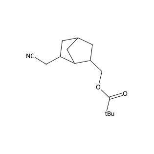 CC(C)(C)C(=O)OCC1CC2CC(CC#N)C1C2